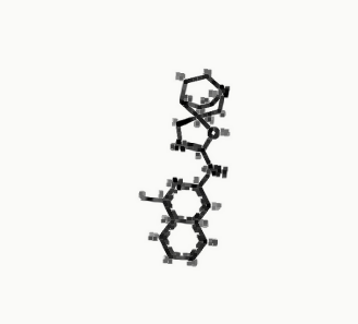 Cc1nc(NC2=NC[C@@]3(CN4CCC3CC4)O2)cc2ccccc12